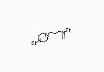 CCNCCCN1CCN(CC)CC1